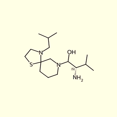 CC(C)CN1CCSC12CCCN(C(O)[C@@H](N)C(C)C)C2